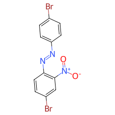 O=[N+]([O-])c1cc(Br)ccc1/N=N/c1ccc(Br)cc1